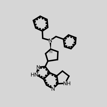 c1ccc(CN(Cc2ccccc2)[C@H]2CCC(c3n[nH]c4cnc5c(c34)CCN5)C2)cc1